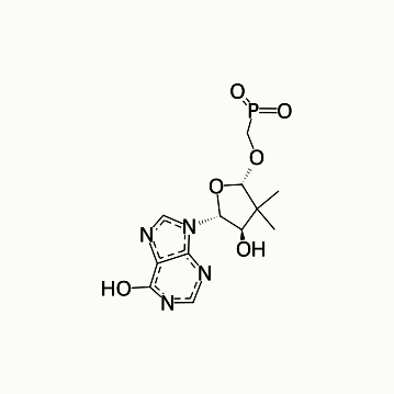 CC1(C)[C@@H](OCP(=O)=O)O[C@@H](n2cnc3c(O)ncnc32)[C@@H]1O